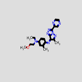 CCN(CCOC)c1ccc(/N=C2/C(C)=Nn3c2nnc3-c2cnccn2)c(C)c1